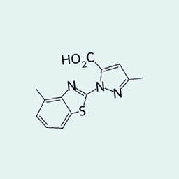 Cc1cc(C(=O)O)n(-c2nc3c(C)cccc3s2)n1